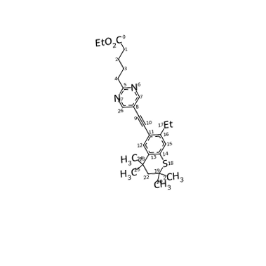 CCOC(=O)CCCCc1ncc(C#Cc2cc3c(cc2CC)SC(C)(C)CC3(C)C)cn1